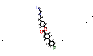 N#C/C=C/CCC1CCC(OC(=O)C2CCC(c3ccc(F)cc3)CC2)CC1